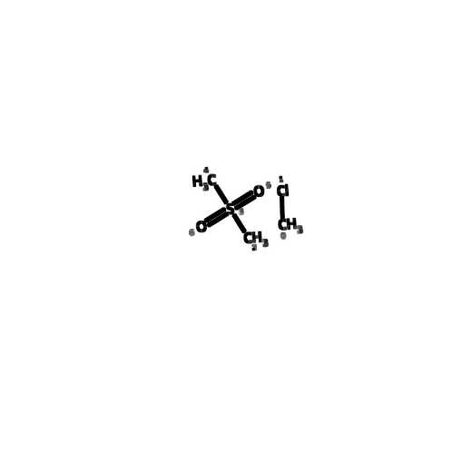 CCl.CS(C)(=O)=O